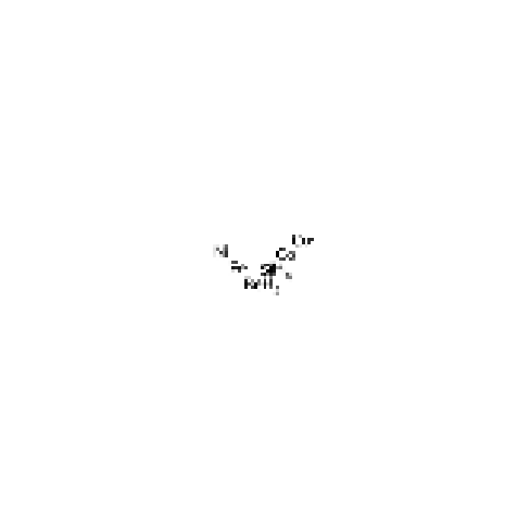 [BeH2].[Co].[Cu].[Fe].[Ni].[SiH4]